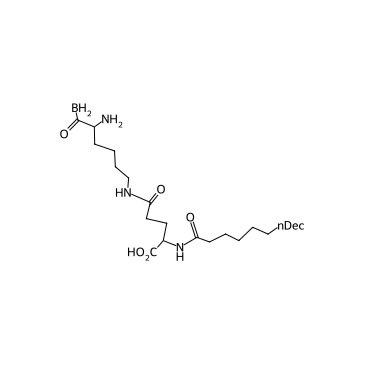 BC(=O)C(N)CCCCNC(=O)CCC(NC(=O)CCCCCCCCCCCCCCC)C(=O)O